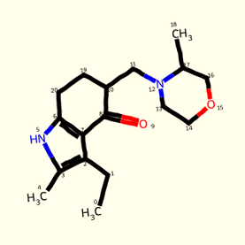 CCc1c(C)[nH]c2c1C(=O)C(CN1CCOCC1C)CC2